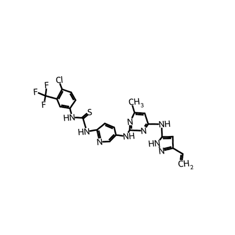 C=Cc1cc(Nc2cc(C)nc(Nc3ccc(NC(=S)Nc4ccc(Cl)c(C(F)(F)F)c4)nc3)n2)[nH]n1